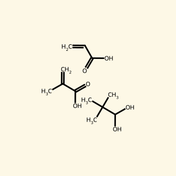 C=C(C)C(=O)O.C=CC(=O)O.CC(C)(C)C(O)O